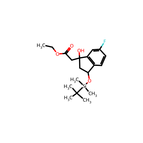 CCOC(=O)CC1(O)CC(O[Si](C)(C)C(C)(C)C)c2ccc(F)cc21